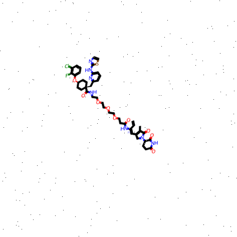 C=C/C(=C\C1=C(C)C(=O)N(C2CCC(=O)NC2=O)C1)NC(=O)CCOCCOCCOCCNC(=O)[C@]1(Cc2cccc(Nc3nccs3)n2)CC[C@@H](Oc2cccc(Cl)c2F)CC1